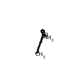 CCCCCCCCCCCCCCCCC(C(N)=O)c1ccccc1